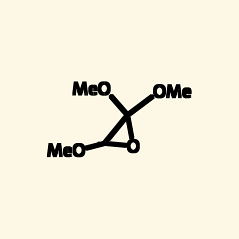 CO[C]1OC1(OC)OC